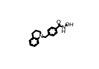 O=C(NO)c1ccc(CN2CCCc3ccccc32)cc1